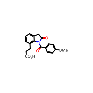 COc1ccc(C(=O)N2C(=O)Cc3cccc(CCC(=O)O)c32)cc1